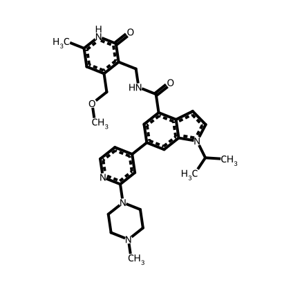 COCc1cc(C)[nH]c(=O)c1CNC(=O)c1cc(-c2ccnc(N3CCN(C)CC3)c2)cc2c1ccn2C(C)C